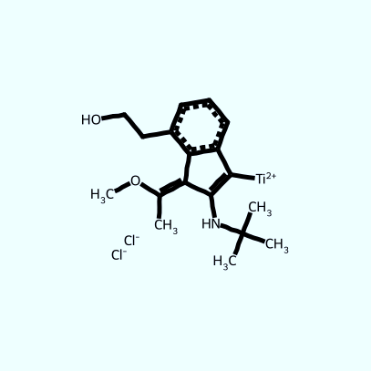 COC(C)=C1C(NC(C)(C)C)=[C]([Ti+2])c2cccc(CCO)c21.[Cl-].[Cl-]